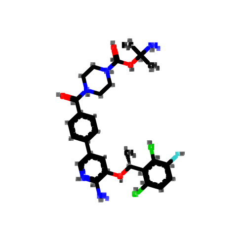 C[C@@H](Oc1cc(-c2ccc(C(=O)N3CCN(C(=O)OC(C)(C)N)CC3)cc2)cnc1N)c1c(Cl)ccc(F)c1Cl